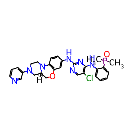 CP(C)(=O)c1ccccc1Nc1nc(Nc2ccc3c(c2)OC[C@@H]2CN(c4cccnc4)CCN32)ncc1Cl